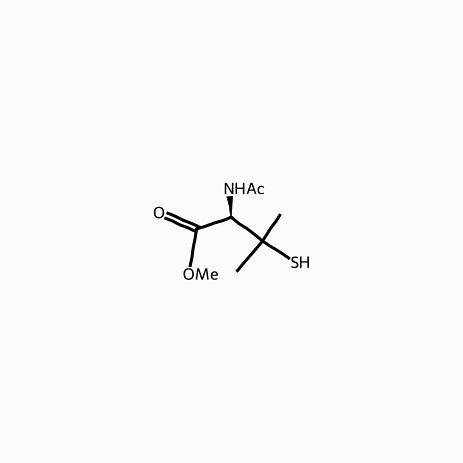 COC(=O)[C@@H](NC(C)=O)C(C)(C)S